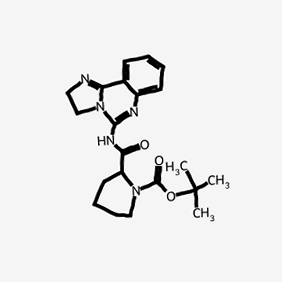 CC(C)(C)OC(=O)N1CCCCC1C(=O)NC1=Nc2ccccc2C2=NCCN12